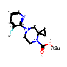 CC(C)(C)OC(=O)N1CCN(c2ncccc2F)CC12CC2